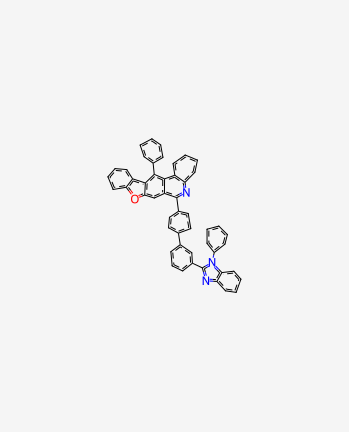 c1ccc(-c2c3c(cc4c(-c5ccc(-c6cccc(-c7nc8ccccc8n7-c7ccccc7)c6)cc5)nc5ccccc5c24)oc2ccccc23)cc1